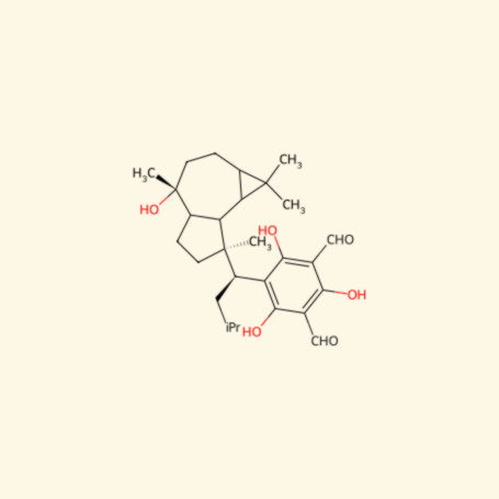 CC(C)C[C@H](c1c(O)c(C=O)c(O)c(C=O)c1O)[C@@]1(C)CCC2C1C1C(CC[C@@]2(C)O)C1(C)C